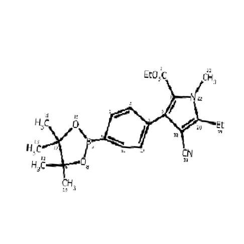 CCOC(=O)c1c(-c2ccc(B3OC(C)(C)C(C)(C)O3)cc2)c(C#N)c(CC)n1C